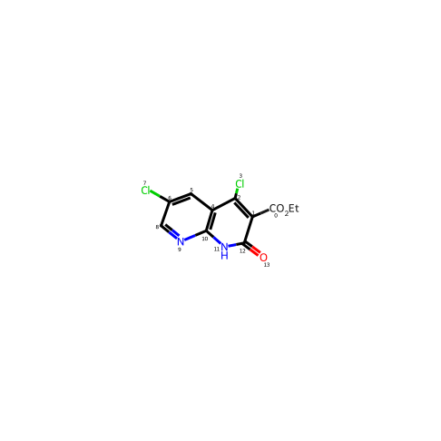 CCOC(=O)c1c(Cl)c2cc(Cl)cnc2[nH]c1=O